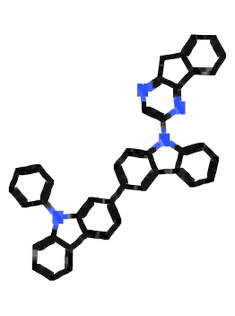 c1ccc(-n2c3ccccc3c3ccc(-c4ccc5c(c4)c4ccccc4n5-c4cnc5c(n4)-c4ccccc4C5)cc32)cc1